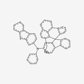 CCc1ccc2cccc3c2c1C1(c2ccccc2-c2ccc(N(c4ccccc4)c4ccc5c(c4)sc4ccccc45)cc21)c1ccccc1-3